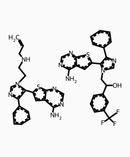 C=CCNCCn1cnc(-c2ccccc2)c1-c1cc2c(N)ncnc2s1.Nc1ncnc2sc(-c3c(-c4ccccc4)ncn3CC(O)c3cccc(C(F)(F)F)c3)cc12